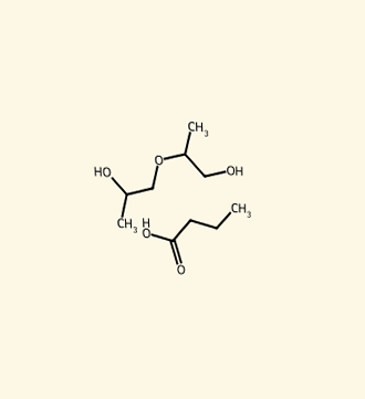 CC(O)COC(C)CO.CCCC(=O)O